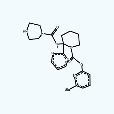 CC(C)(C)c1cccc(OC(=O)N2CCCCC2(NC(=O)N2CCNCC2)c2ncccn2)n1